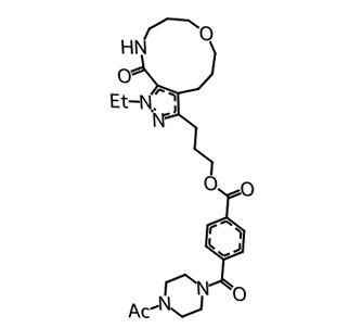 CCn1nc(CCCOC(=O)c2ccc(C(=O)N3CCN(C(C)=O)CC3)cc2)c2c1C(=O)NCCCOCCC2